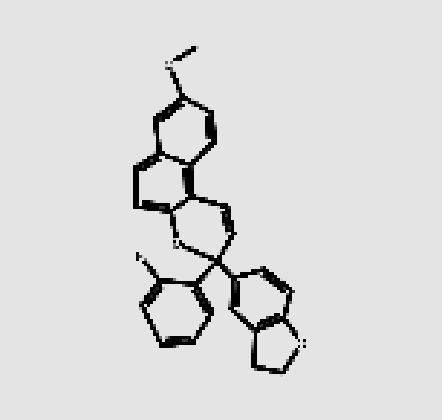 COc1ccc2c3c(ccc2c1)OC(c1ccc2c(c1)CCO2)(c1ccccc1F)C=C3